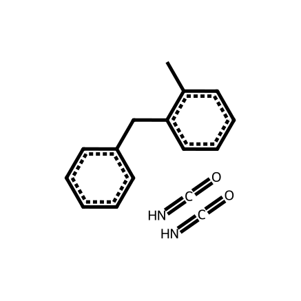 Cc1ccccc1Cc1ccccc1.N=C=O.N=C=O